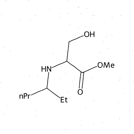 CCCC(CC)NC(CO)C(=O)OC